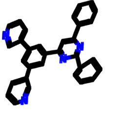 c1ccc(-c2cc(-c3cc(-c4cccnc4)cc(-c4cccnc4)c3)nc(-c3ccccc3)n2)cc1